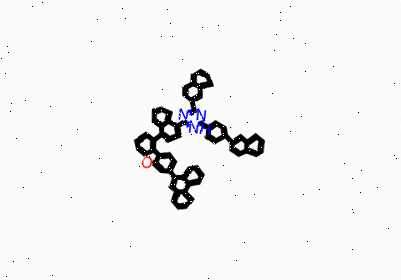 c1ccc2cc(C3=NC(c4ccc(-c5cccc6oc7cc(-c8cc9ccccc9c9ccccc89)ccc7c56)c5ccccc45)NC(c4ccc(-c5ccc6ccccc6c5)cc4)=N3)ccc2c1